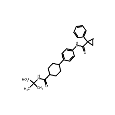 CC(C)(NC(=O)C1CCC(c2ccc(NC(=O)C3(c4ccccc4)CC3)cc2)CC1)C(=O)O